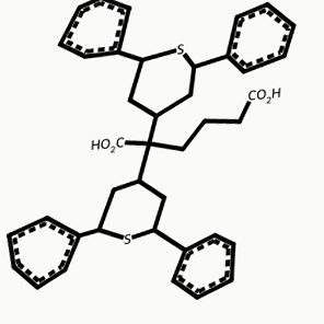 O=C(O)CCCC(C(=O)O)(C1CC(c2ccccc2)SC(c2ccccc2)C1)C1CC(c2ccccc2)SC(c2ccccc2)C1